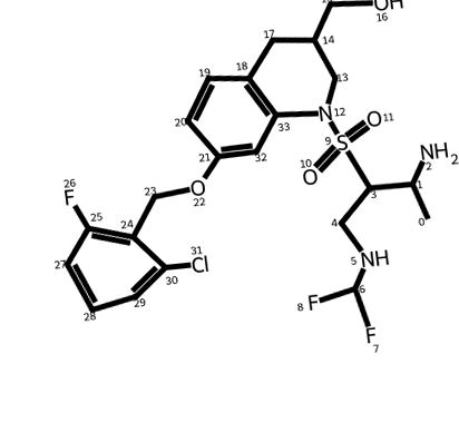 CC(N)C(CNC(F)F)S(=O)(=O)N1CC(CO)Cc2ccc(OCc3c(F)cccc3Cl)cc21